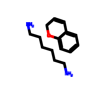 C1=Cc2ccccc2OC1.NCCCCCCN